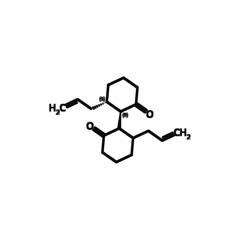 C=CCC1CCCC(=O)C1[C@@H]1C(=O)CCC[C@H]1CC=C